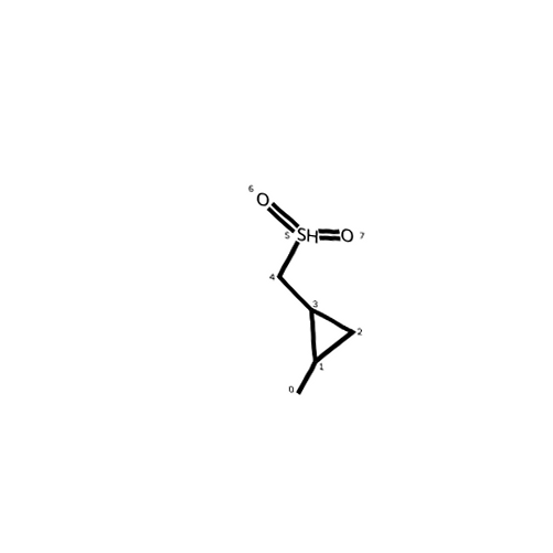 CC1CC1C[SH](=O)=O